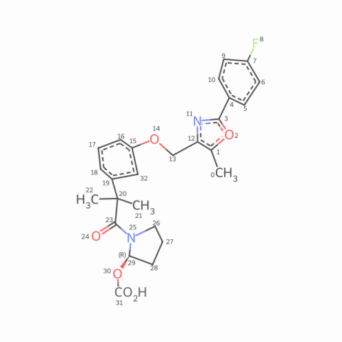 Cc1oc(-c2ccc(F)cc2)nc1COc1cccc(C(C)(C)C(=O)N2CCC[C@H]2OC(=O)O)c1